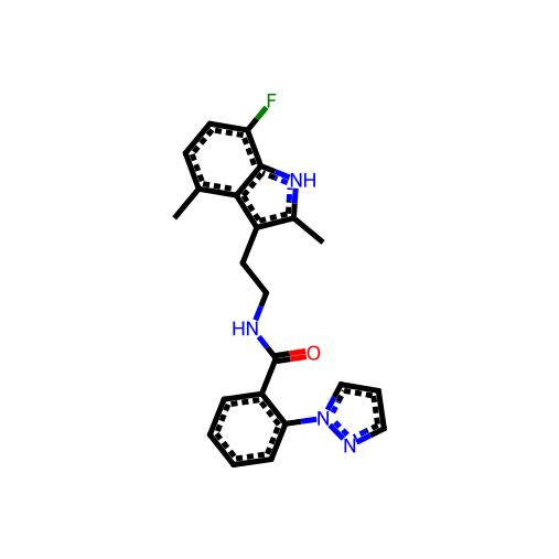 Cc1[nH]c2c(F)ccc(C)c2c1CCNC(=O)c1ccccc1-n1cccn1